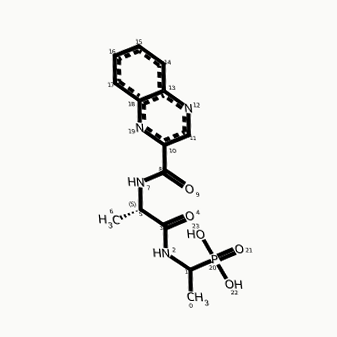 CC(NC(=O)[C@H](C)NC(=O)c1cnc2ccccc2n1)P(=O)(O)O